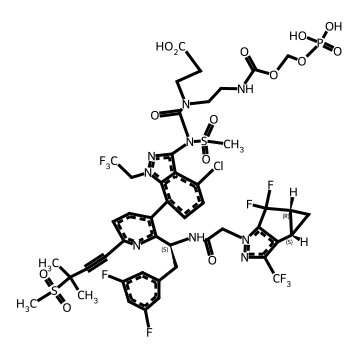 CC(C)(C#Cc1ccc(-c2ccc(Cl)c3c(N(C(=O)N(CCNC(=O)OCOP(=O)(O)O)CCC(=O)O)S(C)(=O)=O)nn(CC(F)(F)F)c23)c([C@H](Cc2cc(F)cc(F)c2)NC(=O)Cn2nc(C(F)(F)F)c3c2C(F)(F)[C@@H]2C[C@H]32)n1)S(C)(=O)=O